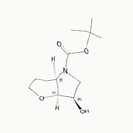 CC(C)(C)OC(=O)N1C[C@@H](O)[C@H]2OCC[C@H]21